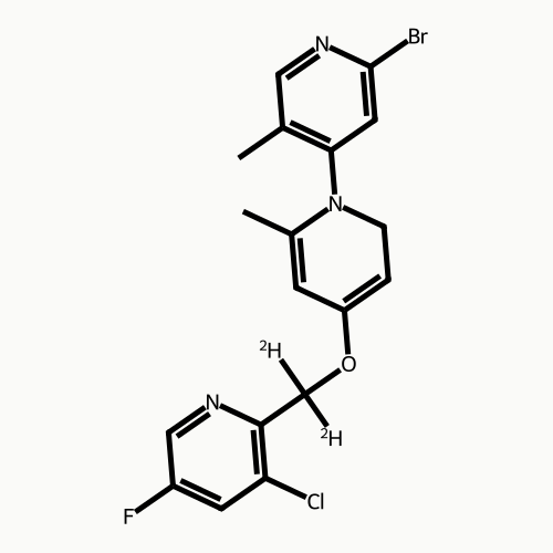 [2H]C([2H])(OC1=CCN(c2cc(Br)ncc2C)C(C)=C1)c1ncc(F)cc1Cl